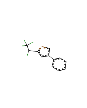 FC(c1cc(-c2ccccc2)cs1)C(F)(F)F